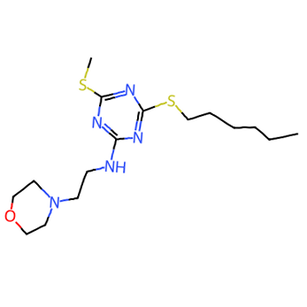 CCCCCCSc1nc(NCCN2CCOCC2)nc(SC)n1